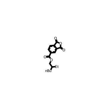 CCCCC(CC)COC(=O)c1ccc2c(c1)C(=O)OC2=O